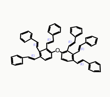 C(=C\c1ccc(Oc2ccc(/C=C/c3ccccc3)c(/C=C/c3ccccc3)c2/C=C/c2ccccc2)c(/C=C/c2ccccc2)c1/C=C/c1ccccc1)/c1ccccc1